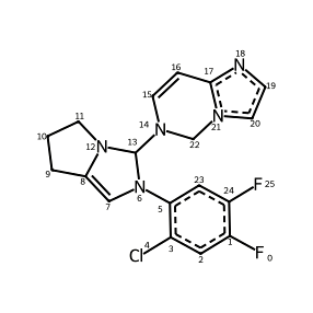 Fc1cc(Cl)c(N2C=C3CCCN3C2N2C=Cc3nccn3C2)cc1F